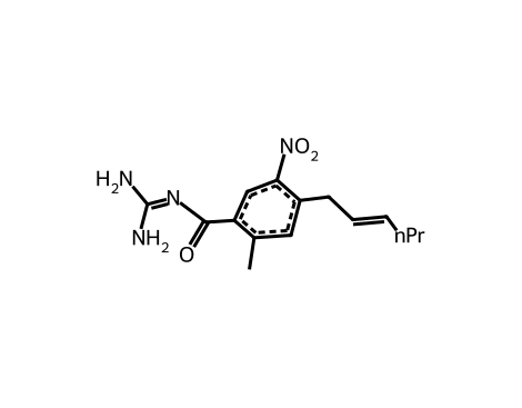 CCCC=CCc1cc(C)c(C(=O)N=C(N)N)cc1[N+](=O)[O-]